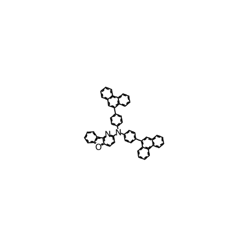 c1ccc2c(c1)cc(-c1ccc(N(c3ccc(-c4cc5ccccc5c5ccccc45)cc3)c3ccc4oc5ccccc5c4n3)cc1)c1ccccc12